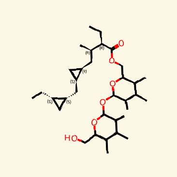 CC[C@H]1C[C@H]1C[C@H]1C[C@H]1C[C@@H](C)[C@@H](CC)C(=O)OCC1OC(OC2OC(CO)C(C)C(C)C2C)C(C)C(C)C1C